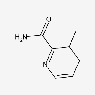 CC1CC=CN=C1C(N)=O